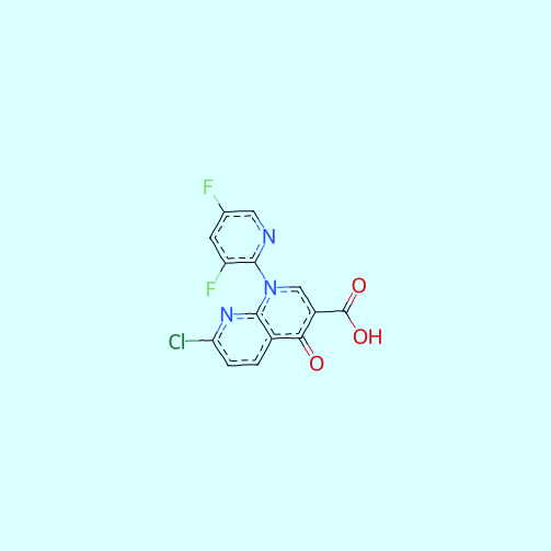 O=C(O)c1cn(-c2ncc(F)cc2F)c2nc(Cl)ccc2c1=O